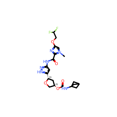 Cn1cc(OCC(F)F)nc1C(=O)Nc1cc([C@@H]2C[C@H](OC(=O)NC34CC(C3)C4)CO2)[nH]n1